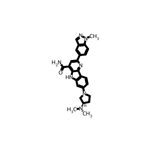 CN(C)[C@@H]1CCN(c2ccc3c(c2)[nH]c2c(C(N)=O)cc(-c4ccc5c(cnn5C)c4)nc23)C1